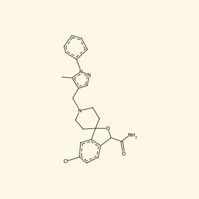 Cc1c(CN2CCC3(CC2)OC(C(N)=O)c2ccc(Cl)cc23)cnn1-c1ccccc1